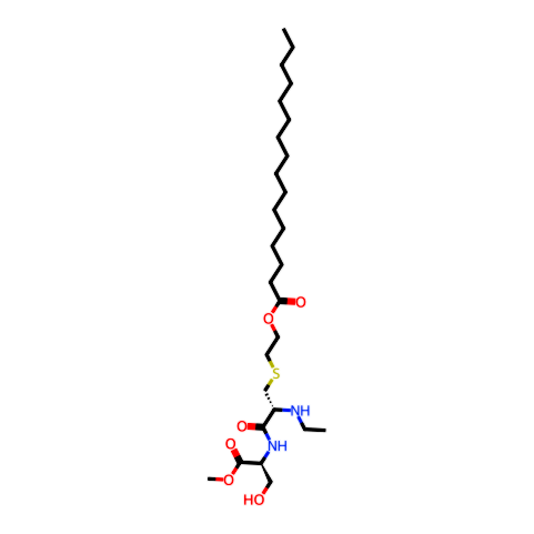 CCCCCCCCCCCCCCCC(=O)OCCSC[C@H](NCC)C(=O)N[C@@H](CO)C(=O)OC